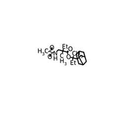 CCC(C)(CNS(C)(=O)=O)C(=O)OC(C)(CC)C12CC3CC(CC(C3)C1)C2